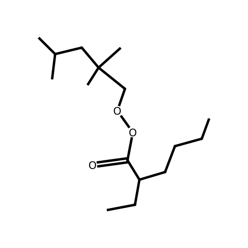 CCCCC(CC)C(=O)OOCC(C)(C)CC(C)C